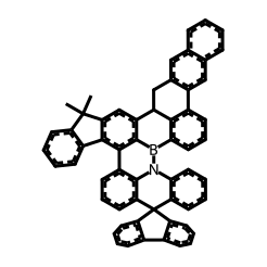 CC1(C)c2ccccc2-c2c1cc1c3c2-c2cccc4c2N(B3c2cccc3c2C1Cc1cc2ccccc2cc1-3)c1ccccc1C41c2ccccc2-c2ccccc21